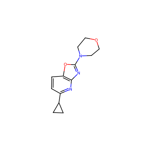 c1cc2oc(N3CCOCC3)nc2nc1C1CC1